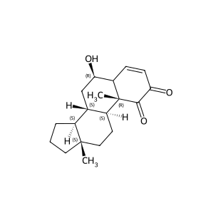 C[C@@]12CCC[C@H]1[C@@H]1C[C@@H](O)C3C=CC(=O)C(=O)[C@]3(C)[C@H]1CC2